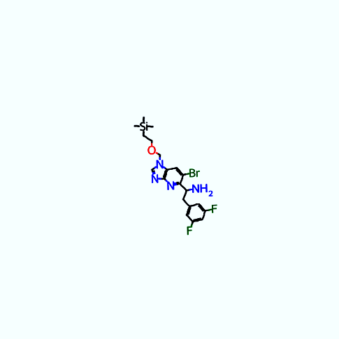 C[Si](C)(C)CCOCn1cnc2nc(C(N)Cc3cc(F)cc(F)c3)c(Br)cc21